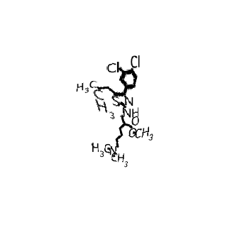 COC(=O)C(CCCCN(C)C)CNc1nc(-c2ccc(Cl)c(Cl)c2)c(CC(C)C)s1